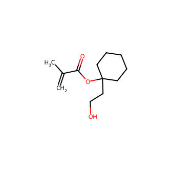 C=C(C)C(=O)OC1(CCO)CCCCC1